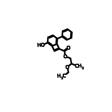 CCOC(C)COC(=O)C1=Cc2c(O)ccc(-c3ccccc3)c21